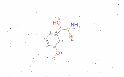 COc1cccc(C(O)[C@H](N)Br)c1